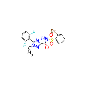 Cn1nc(C(=O)NS(=O)(=O)c2ccccc2Br)nc1-c1c(F)cccc1F